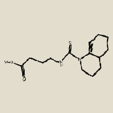 COC(=O)CCCNC(=O)N1CCCC2CCCC=C21